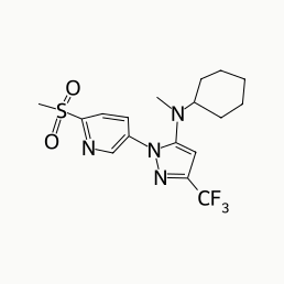 CN(c1cc(C(F)(F)F)nn1-c1ccc(S(C)(=O)=O)nc1)C1CCCCC1